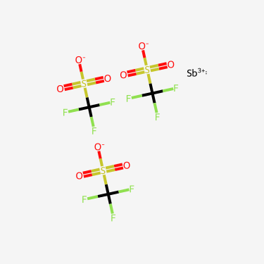 O=S(=O)([O-])C(F)(F)F.O=S(=O)([O-])C(F)(F)F.O=S(=O)([O-])C(F)(F)F.[Sb+3]